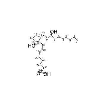 CCCCCCCC(O)C=CC1CCC(O)C1CC#CCCCCC(=O)O